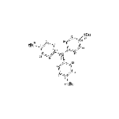 CC(C)(C)c1ccc([SiH](c2ccc(C(C)(C)C)cc2)c2ccc(C(C)(C)C)cc2)cc1